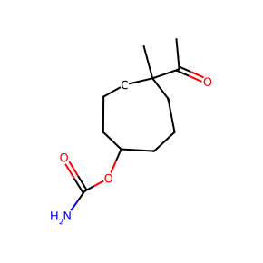 CC(=O)C1(C)CCCC(OC(N)=O)CCC1